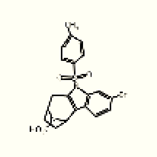 Cc1ccc(S(=O)(=O)n2c3c(c4ccc(Br)cc42)C2CCC(C3)N2C(=O)O)cc1